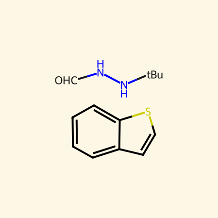 CC(C)(C)NNC=O.c1ccc2sccc2c1